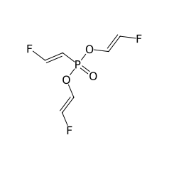 O=P(C=CF)(OC=CF)OC=CF